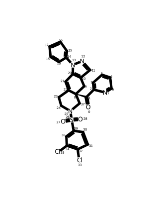 O=C(c1ccccn1)[C@]12Cc3cnn(-c4ccccc4)c3C=C1CCN(S(=O)(=O)c1ccc(Cl)c(Cl)c1)C2